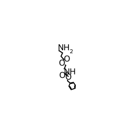 NCCCC(=O)OCCNC(=O)OCc1ccccc1